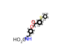 O=C(O)NCCc1ccc(OCC(=O)c2cccc(SC3CCCC3)c2)cc1